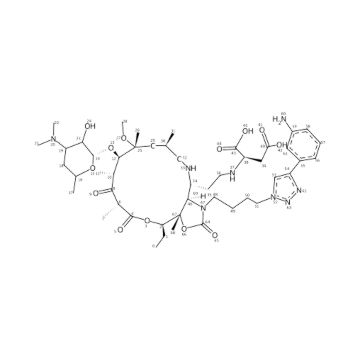 CC[C@H]1OC(=O)[C@H](C)C(=O)[C@H](C)[C@@H](O[C@@H]2OC(C)CC(N(C)C)C2O)[C@](C)(OC)C[C@@H](C)CN[C@H](CCN[C@H](CC(=O)O)C(=O)O)[C@H]2N(CCCCn3cc(-c4cccc(N)c4)nn3)C(=O)O[C@]12C